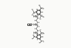 CC(C)c1cc(C(C)C)c(NCCCNCCCNc2c(C(C)C)cc(C(C)C)cc2C(C)C)c(C(C)C)c1.[Cl-].[Cl-].[Co+2]